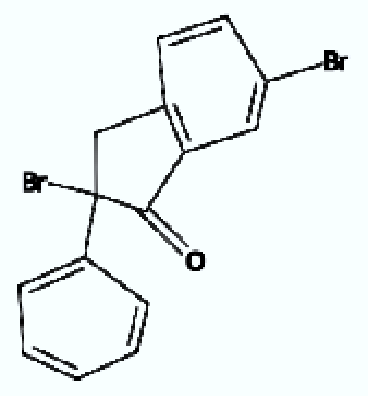 O=C1c2cc(Br)ccc2CC1(Br)c1ccccc1